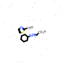 NC1CCCCC1.NCC(=O)O.O=Cc1nccs1